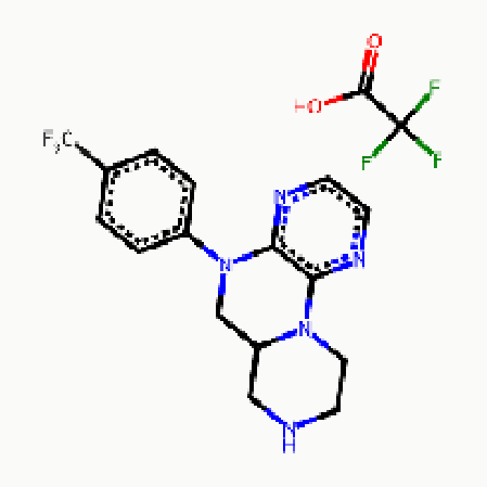 FC(F)(F)c1ccc(N2CC3CNCCN3c3nccnc32)cc1.O=C(O)C(F)(F)F